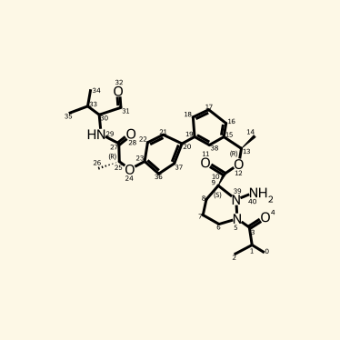 CC(C)C(=O)N1CCC[C@@H](C(=O)O[C@H](C)c2cccc(-c3ccc(O[C@H](C)C(=O)NC(C=O)C(C)C)cc3)c2)N1N